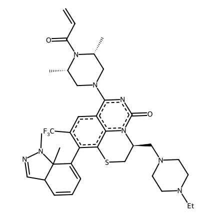 C=CC(=O)N1[C@H](C)CN(c2nc(=O)n3c4c(c(C5=CC=CC6C=NN(C)C56C)c(C(F)(F)F)cc24)SC[C@@H]3CN2CCN(CC)CC2)C[C@@H]1C